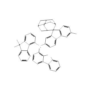 Cc1ccc2c(c1)-c1ccc(N(c3cccc4c3-c3ccccc3C4(C)C)c3cccc4c3sc3ccccc34)cc1C21C2CC3CC(C2)CC1C3